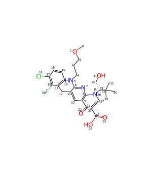 COCCCNc1nc2c(cc1Cc1cccc(Cl)c1F)c(=O)c(C(=O)O)cn2[C@H](CO)C(C)(C)C